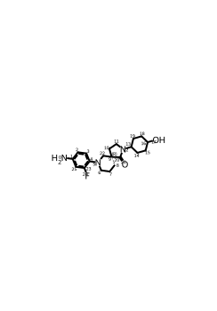 Nc1ccc(N2CCC[C@@]3(CCN(C4CCC(O)CC4)C3=O)C2)c(F)c1